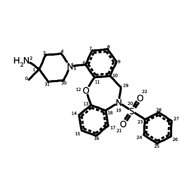 CC1(N)CCN(c2cccc3c2Oc2ccccc2N(S(=O)(=O)c2ccccc2)C3)CC1